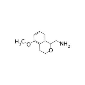 COc1cccc2c1CCOC2CN